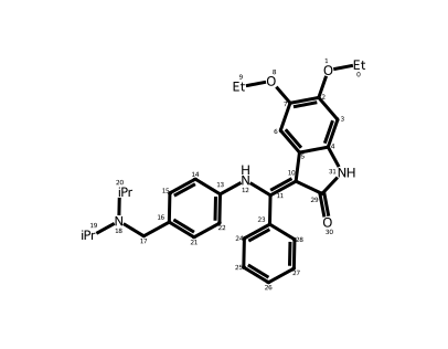 CCOc1cc2c(cc1OCC)C(=C(Nc1ccc(CN(C(C)C)C(C)C)cc1)c1ccccc1)C(=O)N2